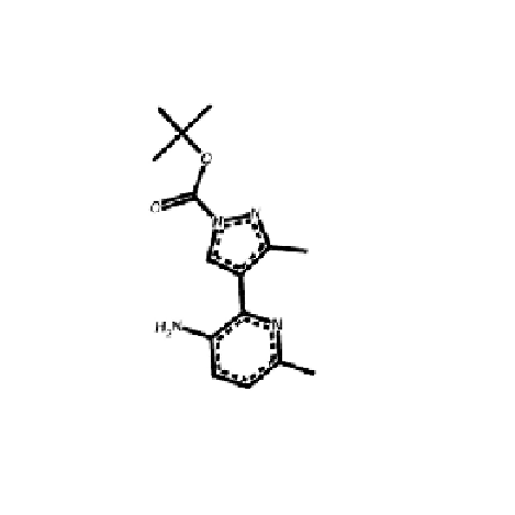 Cc1ccc(N)c(-c2cn(C(=O)OC(C)(C)C)nc2C)n1